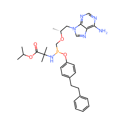 CC(C)OC(=O)C(C)(C)NP(CO[C@H](C)Cn1cnc2c(N)ncnc21)Oc1ccc(CCc2ccccc2)cc1